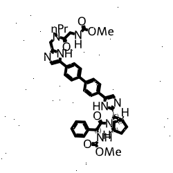 CCCN(Cc1ncc(-c2ccc(-c3ccc(-c4cnc([C@@H]5[C@H]6CC[C@H](C6)N5C(=O)[C@H](NC(=O)OC)c5ccccc5)[nH]4)cc3)cc2)[nH]1)C(=O)CNC(=O)OC